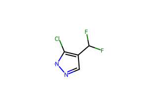 FC(F)C1=C(Cl)[N]N=C1